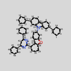 c1ccc(-c2ccc3c4ccc(-c5ccccc5)cc4n(-c4ccc5c(c4)oc4cccc(-c6nc(-c7ccccc7)cc(-c7ccccc7)n6)c45)c3c2)cc1